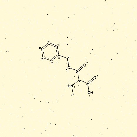 CNC(C(=O)O)C(=O)OCc1ccccc1